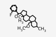 COCC12CCC(C)CC1CCC1C3CCC(C(=O)c4ccccc4F)C3(C)CCC12